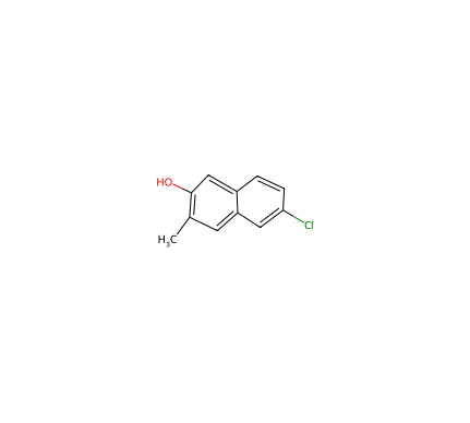 Cc1cc2cc(Cl)ccc2cc1O